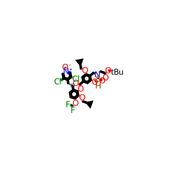 CC(C)(C)OC(=O)CN(Cc1ccc(C(=O)O[C@@H](Cc2c(Cl)c[n+]([O-])cc2Cl)c2ccc(OC(F)F)c(OCC3CC3)c2)cc1OCC1CC1)[SH](=O)=O